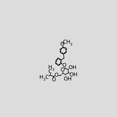 COc1ccc(Cc2ccccc2O[C@@H]2O[C@H](COC(=O)C(C)C)[C@@H](O)[C@H](O)[C@H]2O)cc1